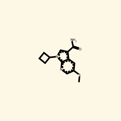 CSc1cnc2c(c1)c(C(N)=O)cn2C1CCC1